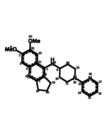 COc1cc2nc3c(c(NC4CCN(c5ccccn5)CC4)c2cc1OC)CCC3